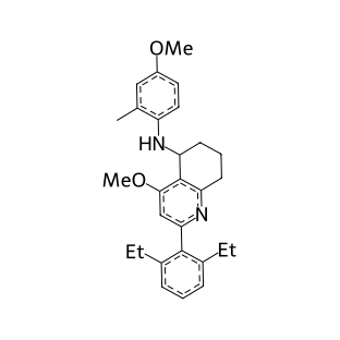 CCc1cccc(CC)c1-c1cc(OC)c2c(n1)CCCC2Nc1ccc(OC)cc1C